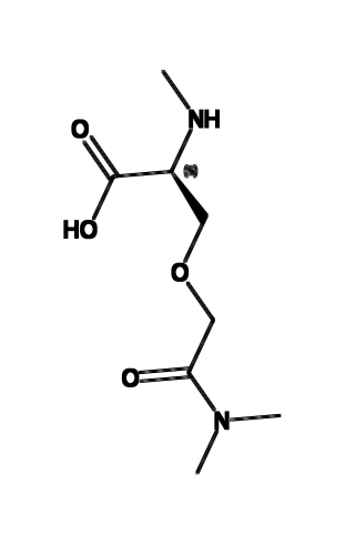 CN[C@@H](COCC(=O)N(C)C)C(=O)O